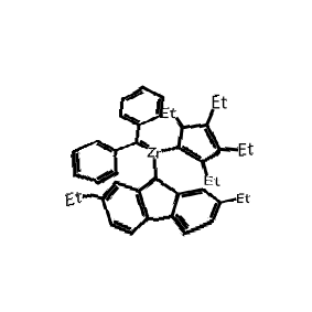 CCC1=C(CC)C(CC)[C]([Zr](=[C](c2ccccc2)c2ccccc2)[CH]2c3cc(CC)ccc3-c3ccc(CC)cc32)=C1CC